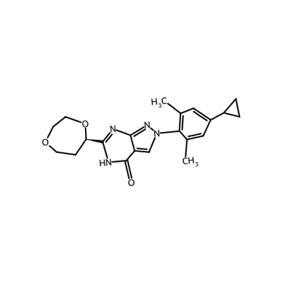 Cc1cc(C2CC2)cc(C)c1-n1cc2c(=O)[nH]c([C@H]3CCOCCO3)nc2n1